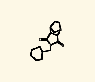 O=C1C2C3CCN(C3)C2C(=O)N1CC1CCCCC1